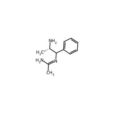 C/C(N)=N/C(c1ccccc1)[C@H](C)N